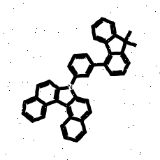 CC1(C)c2ccccc2-c2c(-c3cccc(-n4c5ccc6ccccc6c5c5c6ccccc6ccc54)c3)cccc21